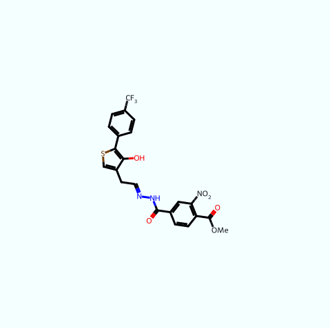 COC(=O)c1ccc(C(=O)NN=CCc2csc(-c3ccc(C(F)(F)F)cc3)c2O)cc1[N+](=O)[O-]